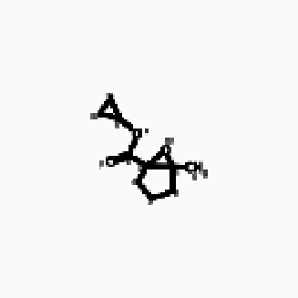 CC12CCCC1(C(=O)OC1CC1)O2